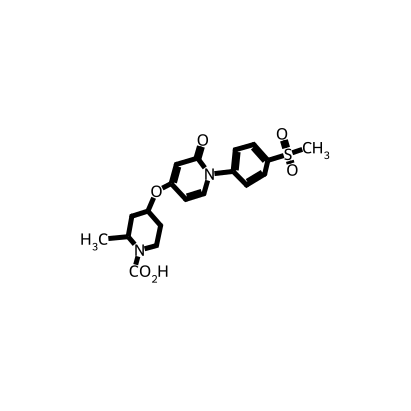 CC1CC(Oc2ccn(-c3ccc(S(C)(=O)=O)cc3)c(=O)c2)CCN1C(=O)O